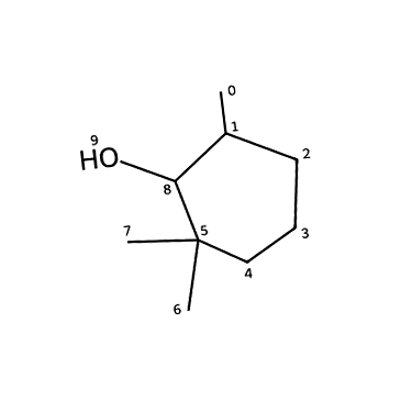 CC1CCCC(C)(C)C1O